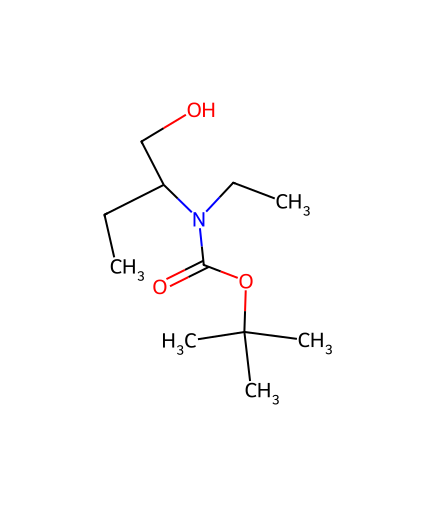 CCC(CO)N(CC)C(=O)OC(C)(C)C